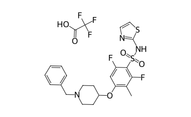 Cc1c(OC2CCN(Cc3ccccc3)CC2)cc(F)c(S(=O)(=O)Nc2nccs2)c1F.O=C(O)C(F)(F)F